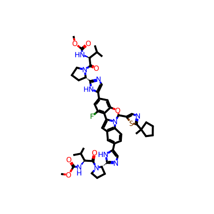 COC(=O)N[C@H](C(=O)N1CCC[C@H]1c1ncc(-c2cc(F)c3c(c2)OC(c2cnc(C4(C)CCCC4)s2)n2c-3cc3cc(-c4cnc([C@@H]5CCCN5C(=O)[C@@H](NC(=O)OC)C(C)C)[nH]4)ccc32)[nH]1)C(C)C